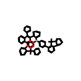 CC1(C)c2ccccc2-c2cccc(-c3ccc(N(c4ccc5c(c4)C(C)(c4ccccc4)c4ccccc4-5)c4ccccc4-c4c(-c5ccccc5)c5ccccc5c5ccccc45)cc3)c21